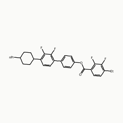 CCCC1CCC(c2ccc(-c3ccc(OC(=O)c4ccc(CC)c(F)c4F)cc3)c(F)c2F)CC1